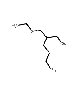 [CH2]CSCC(CC)CCCC